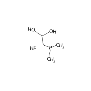 CP(C)CC(O)O.F